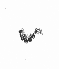 COc1nc(-c2ccnc(-c3cccc(Nc4nccc(CNCC(C)(C)O)c4F)c3Cl)c2Cl)ccc1CNC[C@@H]1CCC(=O)N1